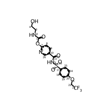 O=C(NCCO)Oc1ccc(C(=O)NS(=O)(=O)c2ccc(OCC(F)(F)F)cc2)cn1